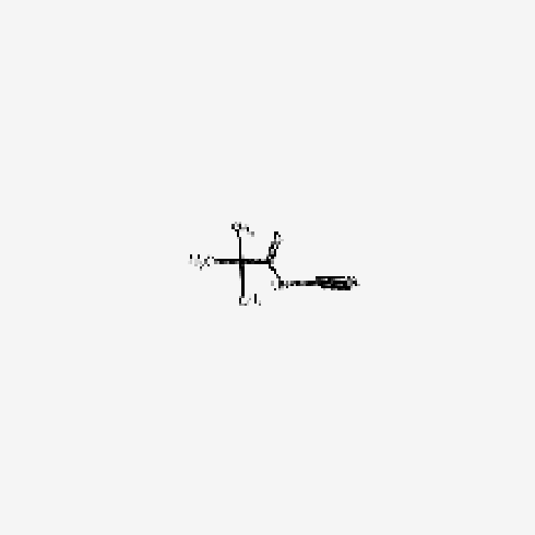 CC(C)(C)C(=O)NC#N